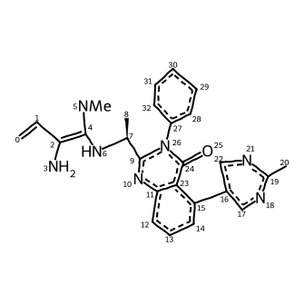 C=C/C(N)=C(\NC)N[C@@H](C)c1nc2cccc(-c3cnc(C)nc3)c2c(=O)n1-c1ccccc1